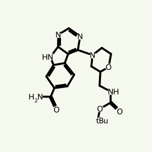 CC(C)(C)OC(=O)NCC1CN(c2ncnc3[nH]c4cc(C(N)=O)ccc4c23)CCO1